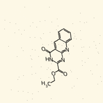 CCOC(=O)c1nc2nc3ccccc3cc2c(=O)[nH]1